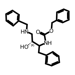 O=C(NC(Cc1ccccc1)[C@H](O)CNCc1ccccc1)OCc1ccccc1